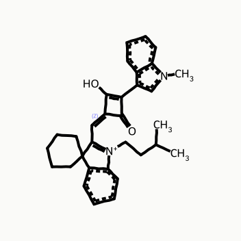 CC(C)CC[N+]1=C(/C=C2\C(=O)C(c3cn(C)c4ccccc34)=C2O)C2(CCCCC2)c2ccccc21